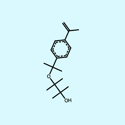 C=C(C)c1ccc(C(C)(C)OC(C)(C)C(C)(C)O)cc1